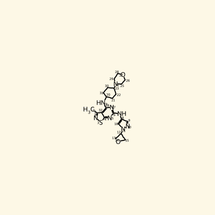 Cc1nsc2nc(Nc3cnn(C4COC4)c3)nc(NC3CCC(N4CCOCC4)CC3)c12